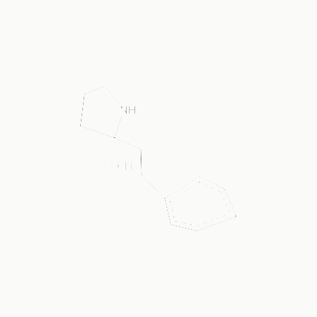 O=C(O)[C@]1(CCc2ccccc2)CCCN1